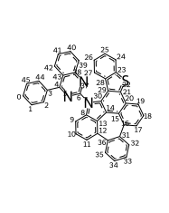 c1ccc(-c2nc(-n3c4cccc5c4c4c6c(cccc6c6sc7ccccc7c6c43)-c3ccccc3-5)nc3ccccc23)cc1